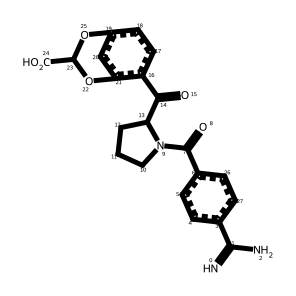 N=C(N)c1ccc(C(=O)N2CCCC2C(=O)c2ccc3cc2OC(C(=O)O)O3)cc1